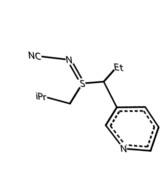 CCC(c1cccnc1)/S(CC(C)C)=N/C#N